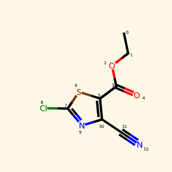 CCOC(=O)c1sc(Cl)nc1C#N